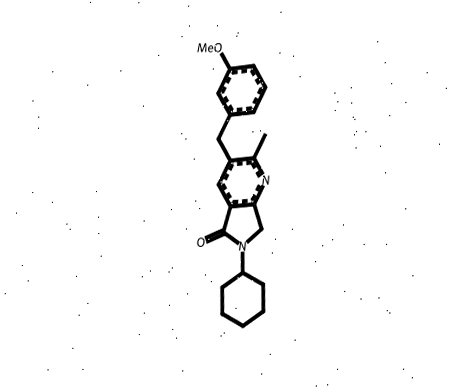 COc1cccc(Cc2cc3c(nc2C)CN(C2CCCCC2)C3=O)c1